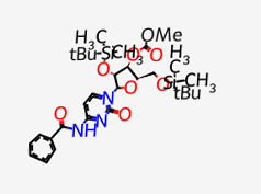 COC(=O)O[C@H]1[C@@H](O[Si](C)(C)C(C)(C)C)[C@H](n2ccc(NC(=O)c3ccccc3)nc2=O)O[C@@H]1CO[Si](C)(C)C(C)(C)C